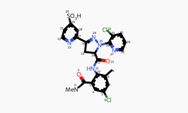 CNC(=O)c1cc(Cl)cc(C)c1NC(=O)C1CC(c2cc(S(=O)(=O)O)ccn2)=NN1c1ncccc1Cl